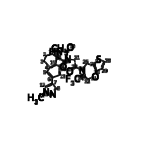 CC1CCc2cc(-c3cnn(C)c3)ccc2[C@@]12NC(=O)N(CC(=O)N1Cc3sccc3OC[C@H]1C(F)(F)F)C2=O